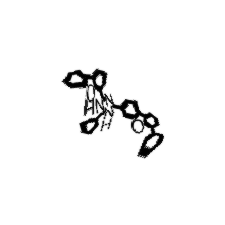 c1ccc(-c2cccc3c2oc2cc(C4N=C(c5cccc6c5oc5ccccc56)NC(c5ccccc5)N4)ccc23)cc1